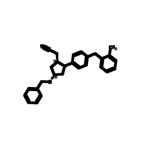 Cc1ccccc1Cc1ccc(N2C[C@H](OCc3ccccc3)C[C@H]2CC#N)cc1